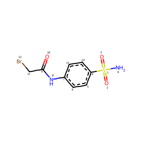 NS(=O)(=O)c1ccc(NC(=O)CBr)cc1